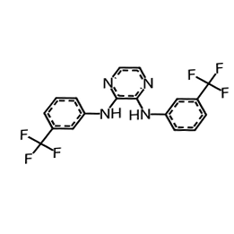 FC(F)(F)c1cccc(Nc2nccnc2Nc2cccc(C(F)(F)F)c2)c1